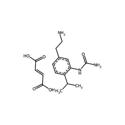 CC(C)c1ccc(CCN)cc1NC(N)=O.O=C(O)C=CC(=O)O